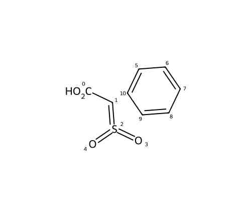 O=C(O)C=S(=O)=O.c1ccccc1